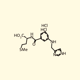 CSCC[C@H](NC(=O)c1cccc(NCc2c[nH]cn2)c1)C(=O)O.Cl.Cl